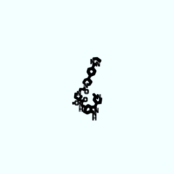 COC1(C(=O)Nc2ccc3[nH]nc(-c4ccnc(C)c4)c3c2)CCN(CC(=O)N2CC=C(c3ccc(-c4ncccn4)cc3)CC2)C1